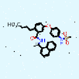 C[C@@H](NC(=O)c1cc(Oc2ccc(NS(C)(=O)=O)cc2)ccc1CCCC(=O)O)c1cccc2ccccc12